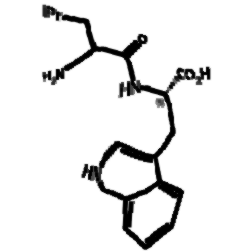 CC(C)CC(N)C(=O)N[C@@H](Cc1c[nH]c2ccccc12)C(=O)O